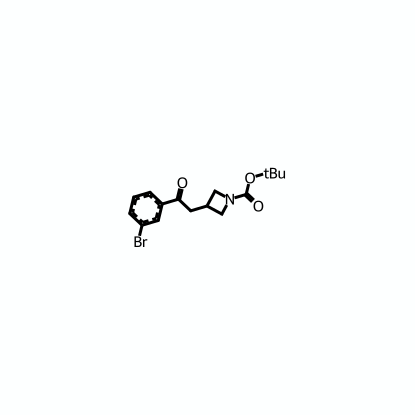 CC(C)(C)OC(=O)N1CC(CC(=O)c2cccc(Br)c2)C1